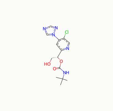 CC(C)(C)NC(=O)O[C@H](CO)c1cc(-n2cncn2)c(Cl)cn1